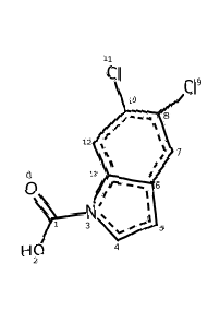 O=C(O)n1ccc2cc(Cl)c(Cl)cc21